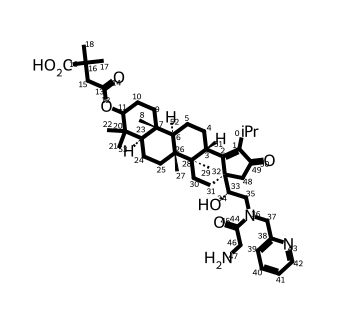 CC(C)C1=C2[C@H]3CC[C@@H]4[C@@]5(C)CCC(OC(=O)CC(C)(C)C(=O)O)C(C)(C)[C@@H]5CC[C@@]4(C)[C@]3(C)CC[C@@]2([C@@H](O)CN(Cc2ccccn2)C(=O)CN)CC1=O